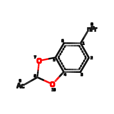 CCCc1ccc2c(c1)OC(C(C)=O)O2